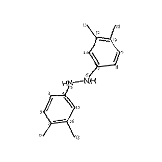 Cc1ccc(NNc2ccc(C)c(C)c2)cc1C